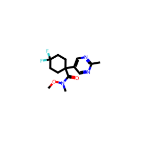 CON(C)C(=O)C1(c2cnc(C)nc2)CCC(F)(F)CC1